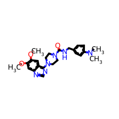 COc1cc2ncnc(N3CCN(C(=O)NCc4ccc(N(C)C)cc4)CC3)c2cc1OC